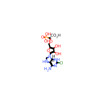 NC1=C2NCN(c3oc(CO[C@@H](C(=O)O)P(=O)(O)O)c(O)c3O)[C@H]2NC(Cl)=N1